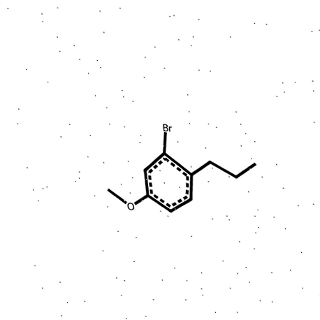 CCCc1ccc(OC)cc1Br